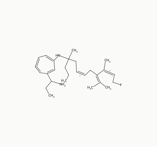 CCCC(C)(C/C=C\CC(=C(C)C)/C(C)=C\CF)NC1=CC=C=CC(C(N)CC)=C1